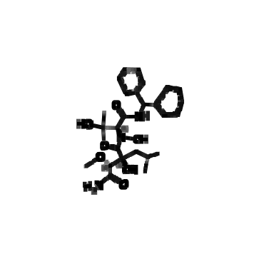 CO[C@@H](C(N)=O)[C@@](O)(CC(C)C)C(=O)N(O)[C@H](C(=O)NC(c1ccccc1)c1ccccc1)C(C)(C)O